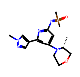 C[C@@H]1COCCN1c1cc(N=S(C)(C)=O)nc(-c2cnn(C)c2)c1